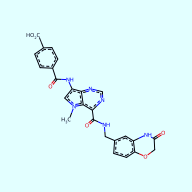 Cn1cc(NC(=O)c2ccc(C(=O)O)cc2)c2ncnc(C(=O)NCc3ccc4c(c3)NC(=O)CO4)c21